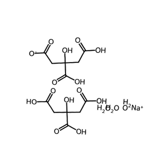 O.O.O.O=C(O)CC(O)(CC(=O)O)C(=O)O.O=C([O-])CC(O)(CC(=O)O)C(=O)O.[Na+]